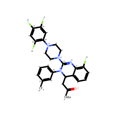 COC(=O)CC1c2cccc(F)c2N=C(N2CCN(c3cc(F)c(F)cc3F)CC2)N1c1cccc(C(F)(F)F)c1